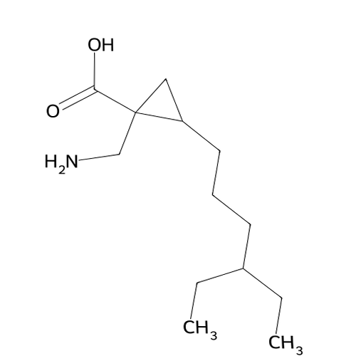 CCC(CC)CCCC1CC1(CN)C(=O)O